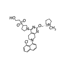 CN1CCC[C@H]1COc1nc2c(c(N3CCC(S(=O)(=O)CCO)C3)n1)CCN(c1cccc3cccc(Cl)c13)C2